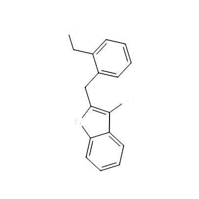 OCc1ccccc1Cc1[nH]c2ccccc2c1O